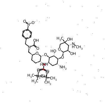 CN[C@@H]1[C@@H](O)[C@@H](O[C@@H]2[C@@H](O)[C@H](O[C@H]3O[C@H](CN(Cc4ccc([N+](=O)[O-])cc4)C(=O)O)CC[C@H]3NC(=O)OC(C)(C)C)[C@@H](NC(=O)OC(C)(C)C)C[C@H]2N)OC[C@]1(C)O